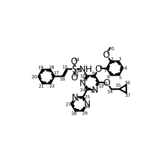 COc1ccccc1Oc1c(NS(=O)(=O)C=Cc2ccccc2)nc(-c2ncccn2)nc1OCC1CC1